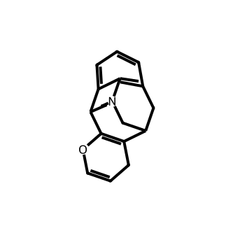 C1=COC2=C(C1)C1Cc3cccc4c3N(CCC24)C1